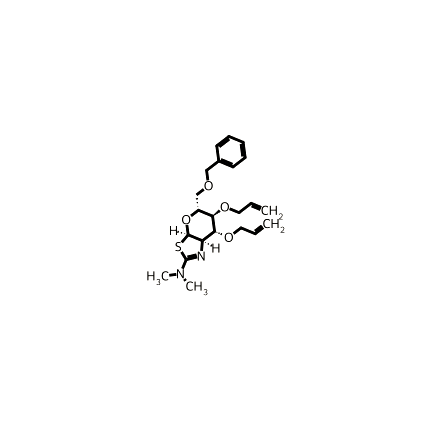 C=CCO[C@@H]1[C@H]2N=C(N(C)C)S[C@H]2O[C@H](COCc2ccccc2)[C@H]1OCC=C